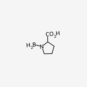 BN1CCCC1C(=O)O